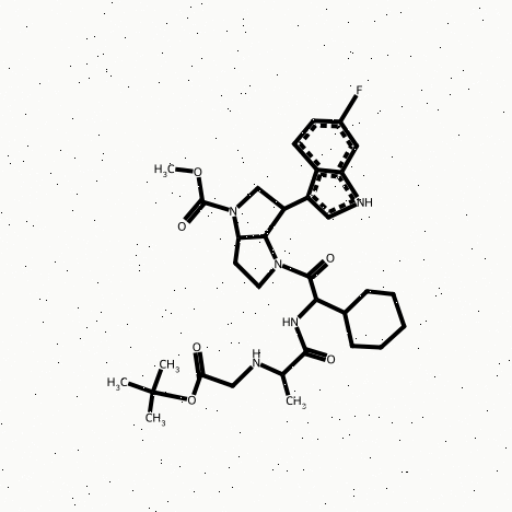 COC(=O)N1CC(c2c[nH]c3cc(F)ccc23)C2C1CCN2C(=O)C(NC(=O)C(C)NCC(=O)OC(C)(C)C)C1CCCCC1